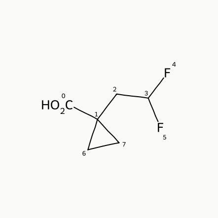 O=C(O)C1(CC(F)F)CC1